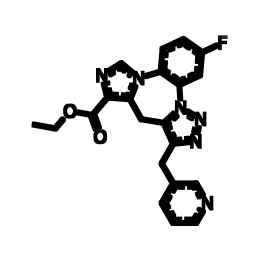 CCOC(=O)c1ncn2c1Cc1c(Cc3cccnc3)nnn1-c1cc(F)ccc1-2